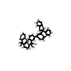 CC1(C)C2=C(C=CCC2)N2c3ccc(-c4ccc5c(c4)C4(CC6=C(CCC=C6)C4)c4ccccc4-5)cc3C(C)(C)c3cccc1c32